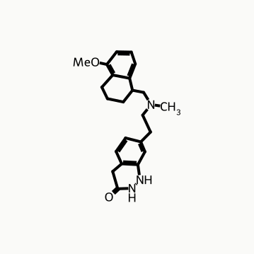 COc1cccc2c1CCCC2CN(C)CCc1ccc2c(c1)NNC(=O)C2